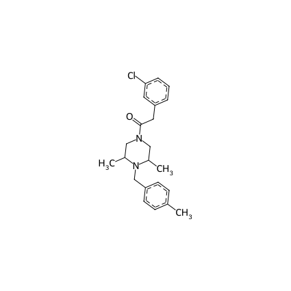 Cc1ccc(CN2C(C)CN(C(=O)Cc3cccc(Cl)c3)CC2C)cc1